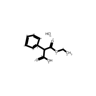 CCOC(=O)C(C(=O)O)c1ccccc1.Cl